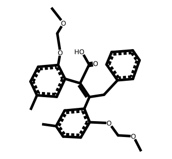 COCOc1ccc(C)cc1C(Cc1ccccc1)=C(C(=O)O)c1cc(C)ccc1OCOC